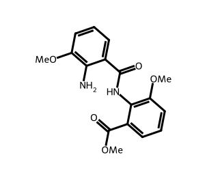 COC(=O)c1cccc(OC)c1NC(=O)c1cccc(OC)c1N